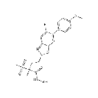 COc1ccc(-c2cc3cn(CCC(C)(C(=O)NO)S(C)(=O)=O)nc3cc2F)cc1